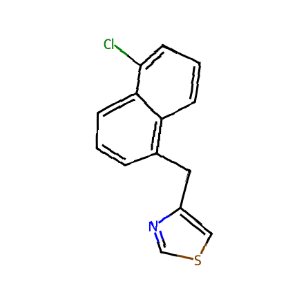 Clc1cccc2c(Cc3cscn3)cccc12